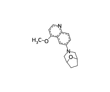 COc1ccnc2ccc(N3CC4CCC(C3)O4)cc12